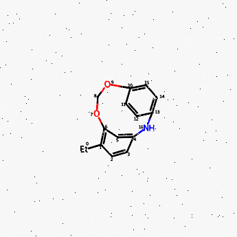 CCc1ccc2cc1OCOc1ccc(cc1)N2